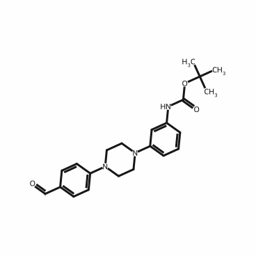 CC(C)(C)OC(=O)Nc1cccc(N2CCN(c3ccc([C]=O)cc3)CC2)c1